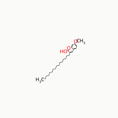 CCCCCCCCCCCCCCCCC(=Cc1ccc(OC)cc1)C(=O)O